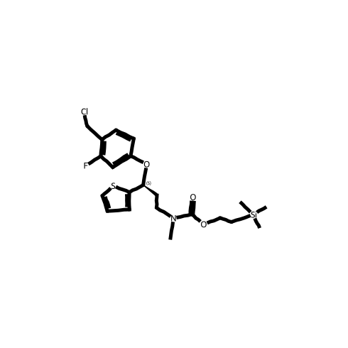 CN(CC[C@H](Oc1ccc(CCl)c(F)c1)c1cccs1)C(=O)OCC[Si](C)(C)C